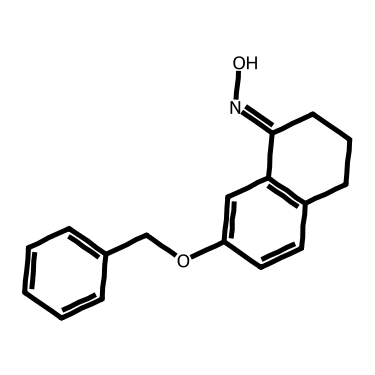 O/N=C1\CCCc2ccc(OCc3ccccc3)cc21